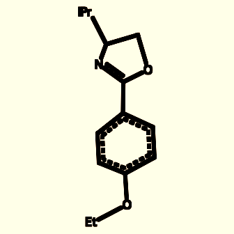 CCOc1ccc(C2=NC(C(C)C)CO2)cc1